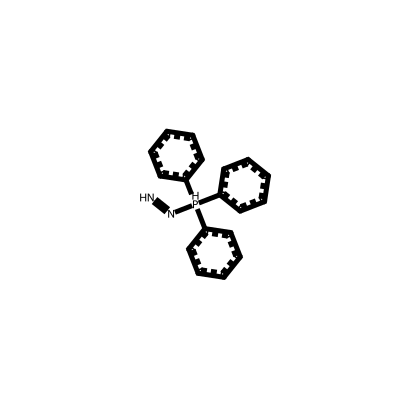 N=N[PH](c1ccccc1)(c1ccccc1)c1ccccc1